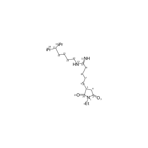 CCN1C(=O)CC(SCCCC(=N)NCCCCC(C(C)C)C(C)C)C1=O